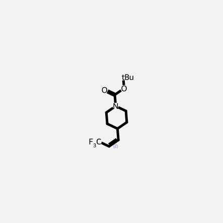 CC(C)(C)OC(=O)N1CCC(/C=C\C(F)(F)F)CC1